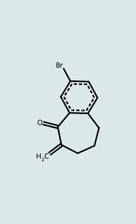 C=C1CCCc2ccc(Br)cc2C1=O